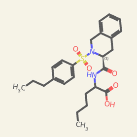 CCCCC(NC(=O)[C@@H]1Cc2ccccc2CN1S(=O)(=O)c1ccc(CCC)cc1)C(=O)O